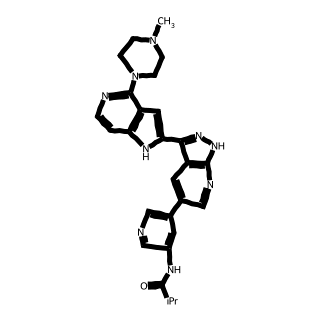 CC(C)C(=O)Nc1cncc(-c2cnc3[nH]nc(-c4cc5c(N6CCN(C)CC6)nccc5[nH]4)c3c2)c1